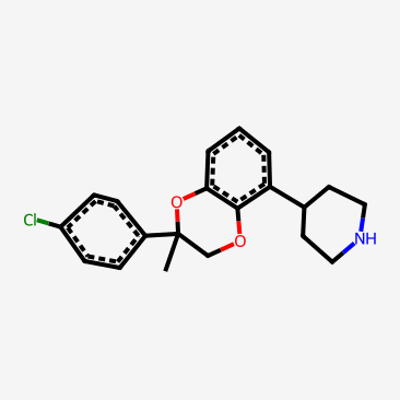 CC1(c2ccc(Cl)cc2)COc2c(cccc2C2CCNCC2)O1